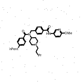 CCCCCc1ccc(C(=O)N(Cc2ccc(C(=O)Nc3ccc(OC)nc3)cc2)C2CCN(CCC(C)C)CC2)cc1